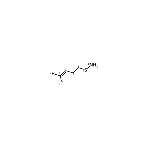 NSCCC=C(F)F